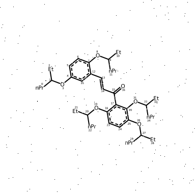 CCCC(CC)Oc1ccc(OC(CC)CCC)c(C=CC(=O)c2c(OC(CC)CCC)ccc(OC(CC)CCC)c2OC(CC)CCC)c1